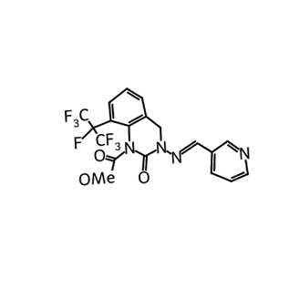 COC(=O)N1C(=O)N(/N=C/c2cccnc2)Cc2cccc(C(F)(C(F)(F)F)C(F)(F)F)c21